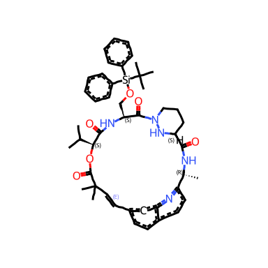 CC(C)[C@@H]1OC(=O)C(C)(C)/C=C/c2ccc3ccc(nc3c2)[C@@H](C)NC(=O)[C@@H]2CCCN(N2)C(=O)[C@H](CO[Si](c2ccccc2)(c2ccccc2)C(C)(C)C)NC1=O